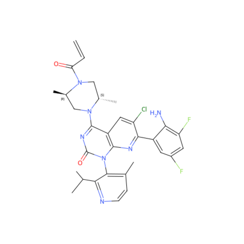 C=CC(=O)N1C[C@H](C)N(c2nc(=O)n(-c3c(C)ccnc3C(C)C)c3nc(-c4cc(F)cc(F)c4N)c(Cl)cc23)C[C@H]1C